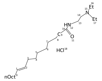 CCCCCCCCC=CCCCCCCCC(=O)NCCN(CC)CC.Cl